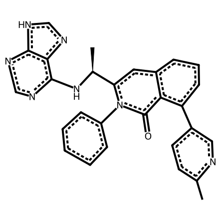 Cc1ccc(-c2cccc3cc([C@H](C)Nc4ncnc5[nH]cnc45)n(-c4ccccc4)c(=O)c23)cn1